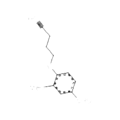 C#CCCCOc1ccc(C=O)cc1OC